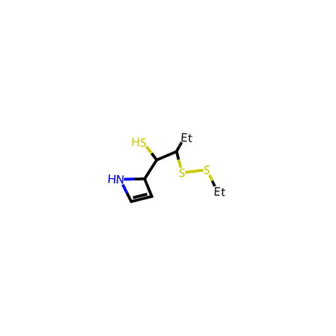 CCSSC(CC)C(S)C1C=CN1